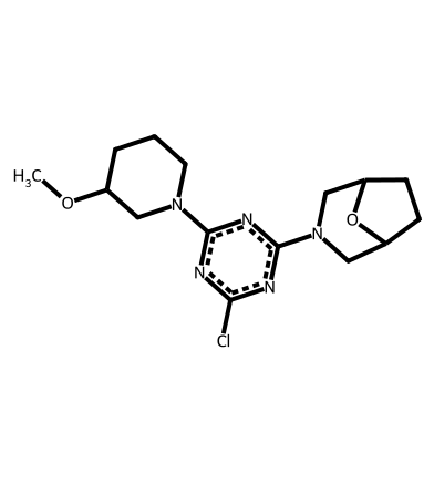 COC1CCCN(c2nc(Cl)nc(N3CC4CCC(C3)O4)n2)C1